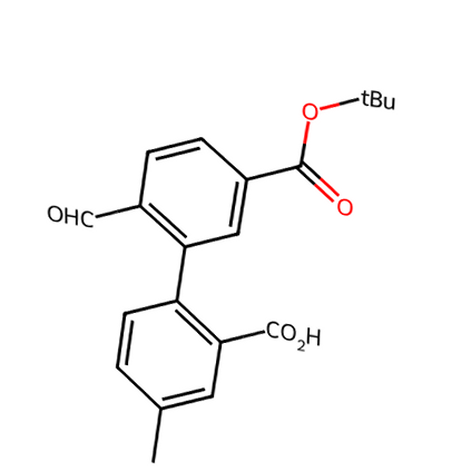 Cc1ccc(-c2cc(C(=O)OC(C)(C)C)ccc2C=O)c(C(=O)O)c1